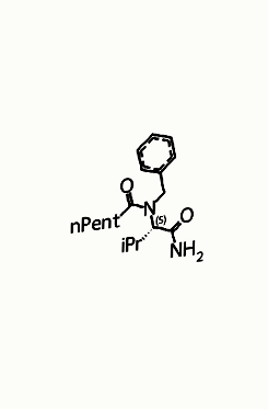 CCCCCC(=O)N(Cc1ccccc1)[C@H](C(N)=O)C(C)C